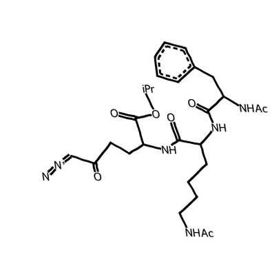 CC(=O)NCCCCC(NC(=O)C(Cc1ccccc1)NC(C)=O)C(=O)NC(CCC(=O)C=[N+]=[N-])C(=O)OC(C)C